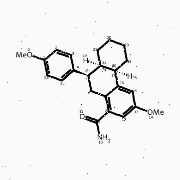 COc1ccc([C@@H]2Cc3c(C(N)=O)cc(OC)cc3[C@@H]3CCCC[C@H]23)cc1